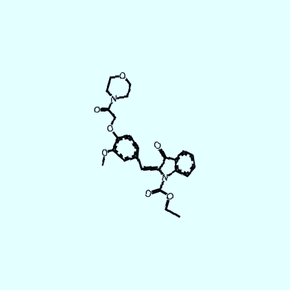 CCOC(=O)N1C(=Cc2ccc(OCC(=O)N3CCOCC3)c(OC)c2)C(=O)c2ccccc21